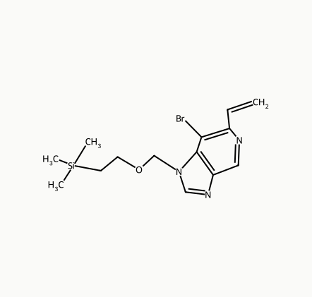 C=Cc1ncc2ncn(COCC[Si](C)(C)C)c2c1Br